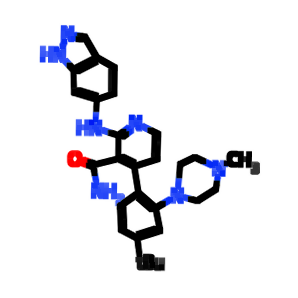 CN1CCN(c2cc(C(C)(C)C)ccc2-c2ccnc(Nc3ccc4cn[nH]c4c3)c2C(N)=O)CC1